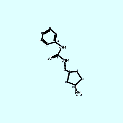 N[C@@H]1CCC(CNC(=O)Nc2ccccc2)C1